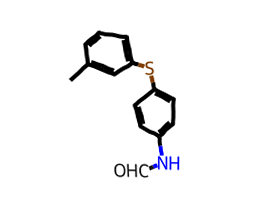 Cc1cccc(Sc2ccc(NC=O)cc2)c1